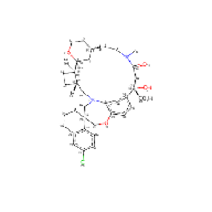 CN1CC[C@@H]2CCO[C@@H](C2)[C@@H]2CC[C@H]2CN2C[C@@]3(CCCc4cc(Cl)ccc43)COc3ccc(cc32)[C@](O)(C(=O)O)CC1=O